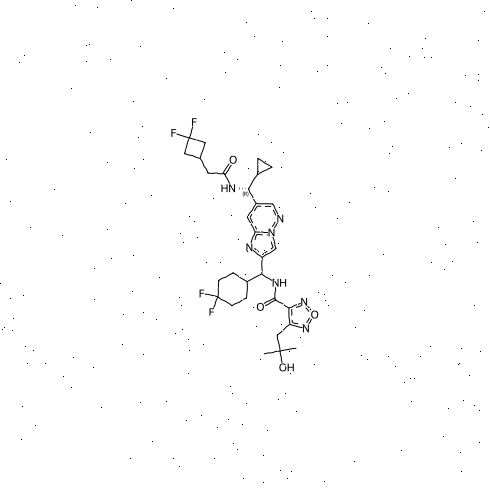 CC(C)(O)Cc1nonc1C(=O)NC(c1cn2ncc([C@H](NC(=O)CC3CC(F)(F)C3)C3CC3)cc2n1)C1CCC(F)(F)CC1